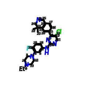 CCN1CCN(c2cc(Nc3ncc(Cl)c(-c4ccc5c(c4)C(C)(C)CN=C5)n3)ccc2F)CC1